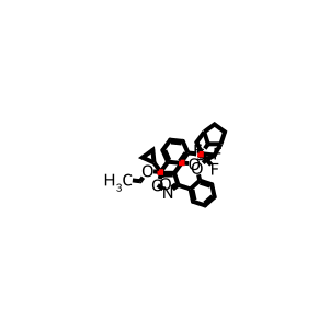 CCOC(=O)c1cccc(SC2C3CCC2CC(OCc2c(-c4ccccc4OC(F)(F)F)noc2C2CC2)C3)c1